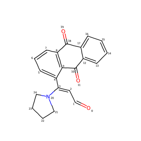 O=CC=C(c1cccc2c1C(=O)c1ccccc1C2=O)N1CCCC1